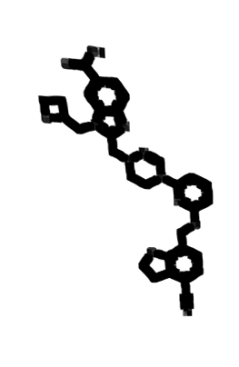 N#Cc1ccc(COc2cccc(N3C=NN(Cc4nc5ccc(C(=O)O)cc5n4CC4CCO4)CC3)n2)c2c1CCO2